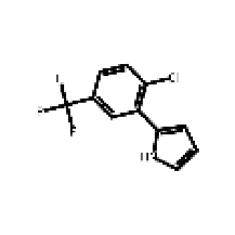 FC(F)(F)c1ccc(Cl)c(-c2ccc[nH]2)c1